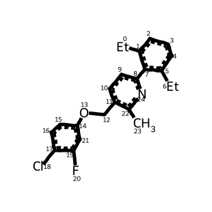 CCc1cccc(CC)c1-c1ccc(COc2ccc(Cl)c(F)c2)c(C)n1